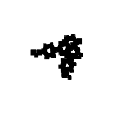 Cl.NC1CCN(c2nc(Nc3ccc(C(F)(F)F)cc3)c3c(=O)[nH]ccc3n2)CC1